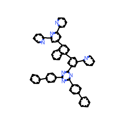 c1ccc(-c2ccc(-c3nc(-c4ccc(-c5ccccc5)cc4)nc(-c4cc(-c5ccccn5)cc(-c5ccc(-c6cc(-c7ccccn7)nc(-c7ccccn7)c6)c6ccccc56)c4)n3)cc2)cc1